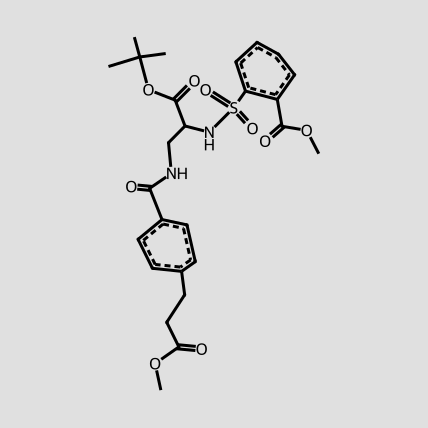 COC(=O)CCc1ccc(C(=O)NCC(NS(=O)(=O)c2ccccc2C(=O)OC)C(=O)OC(C)(C)C)cc1